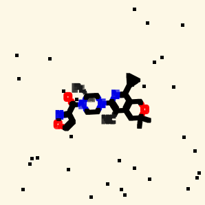 CC(C)[C@@H]1CN(c2nc(C3CC3)c3c(c2C#N)CC(C)(C)OC3)CCN1C(=O)c1ccon1